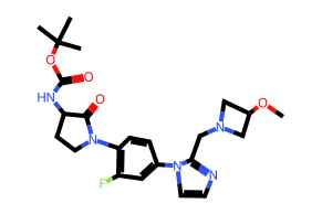 COC1CN(Cc2nccn2-c2ccc(N3CCC(NC(=O)OC(C)(C)C)C3=O)c(F)c2)C1